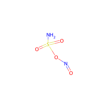 NS(=O)(=O)ON=O